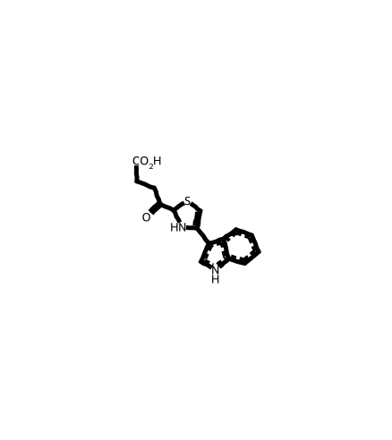 O=C(O)CCC(=O)C1NC(c2c[nH]c3ccccc23)=CS1